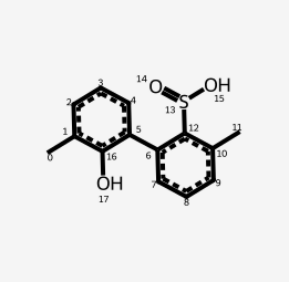 Cc1cccc(-c2cccc(C)c2S(=O)O)c1O